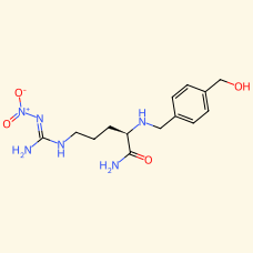 NC(=O)[C@@H](CCCNC(N)=N[N+](=O)[O-])NCc1ccc(CO)cc1